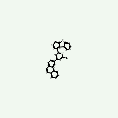 Clc1nc(-c2ccc3ccc4ccccc4c3c2)nc(-c2cccc3oc4ccccc4c23)n1